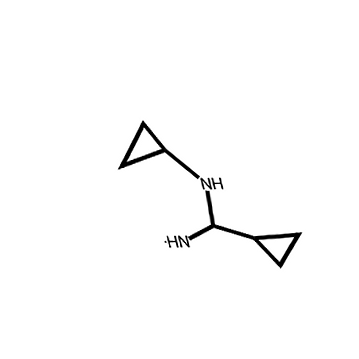 [NH]C(NC1CC1)C1CC1